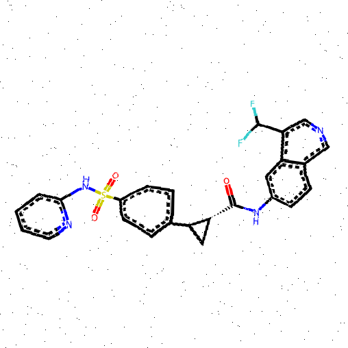 O=C(Nc1ccc2cncc(C(F)F)c2c1)[C@@H]1CC1c1ccc(S(=O)(=O)Nc2ccccn2)cc1